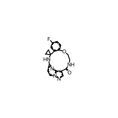 O=C1NCCOc2ccc(F)cc2C2(CC2)Nc2ccn3ncc1c3n2